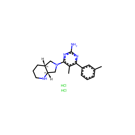 Cc1cccc(-c2nc(N)nc(N3C[C@H]4CCCN[C@H]4C3)c2C)c1.Cl.Cl